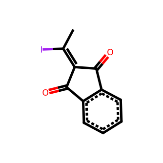 CC(I)=C1C(=O)c2ccccc2C1=O